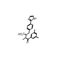 Cc1cc(C)cc(C(=O)N(C)C(Cc2ccc(-c3ncc[nH]3)cc2)C(=O)O)c1